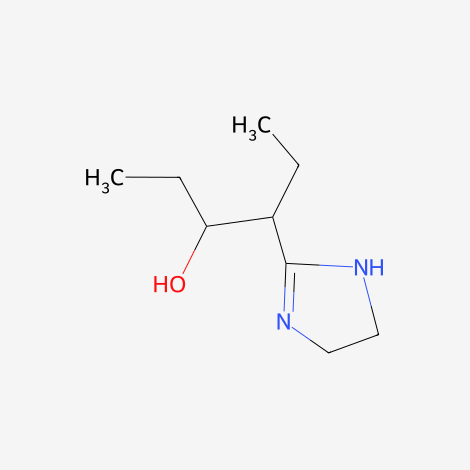 CCC(O)C(CC)C1=NCCN1